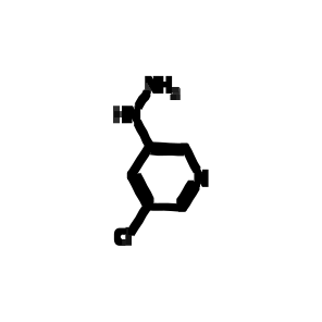 NNc1cncc(Cl)c1